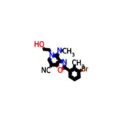 C/N=c1\c2nc(-c3cccc(Br)c3C)oc2c(C#N)cn1CCO